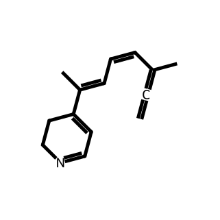 C=C=C(C)/C=C\C=C(/C)C1=CC=NCC1